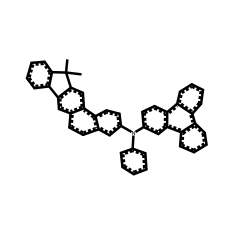 CC1(C)c2ccccc2-c2cc3ccc4cc(N(c5ccccc5)c5ccc6c7ccccc7c7ccccc7c6c5)ccc4c3cc21